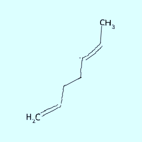 C=CCC/[C]=C/C